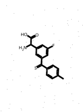 Cc1ccc(C(=S)c2cc(F)cc(C(N)C(=O)O)c2)cc1